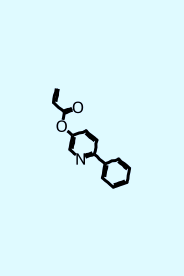 C=CC(=O)Oc1ccc(-c2ccccc2)nc1